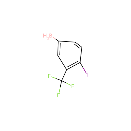 Bc1ccc(I)c(C(F)(F)F)c1